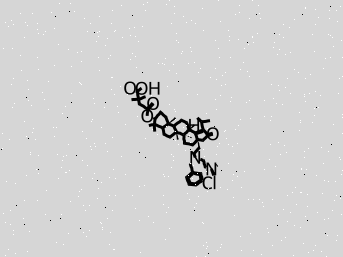 CC(C)C1=C2[C@H]3CCC4[C@@]5(C)CC[C@H](OC(=O)CC(C)(C)C(=O)O)C(C)(C)C5CC[C@@]4(C)[C@]3(C)CC[C@@]2(CCN(CCN(C)C)Cc2cccc(Cl)c2)CC1=O